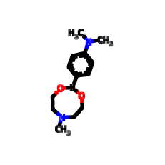 CN1CCOB(c2ccc(N(C)C)cc2)OCC1